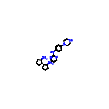 NC1CCCC1.NC1CCCC1.c1cnc(Nc2ccc(N3CCNCC3)cc2)nc1